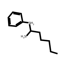 CCCCCC([SiH3])[SiH2]c1ccccc1